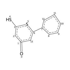 O=c1cc(S)sc(-c2ccccc2)c1